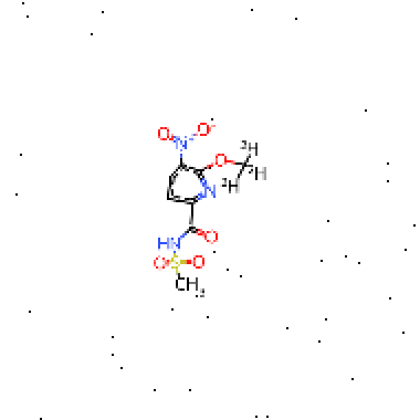 [2H]C([2H])([2H])Oc1nc(C(=O)NS(C)(=O)=O)ccc1[N+](=O)[O-]